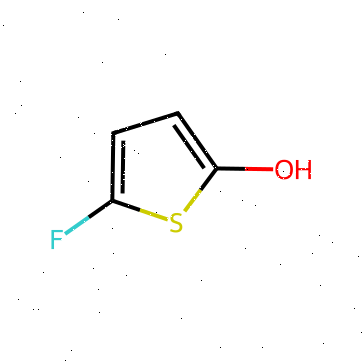 Oc1ccc(F)s1